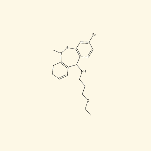 CCOCCCNC1C2=C(CCC=C2)N(C)Sc2cc(Br)ccc21